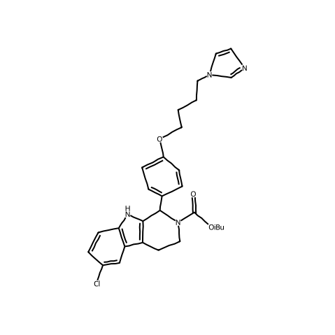 CC(C)COC(=O)N1CCc2c([nH]c3ccc(Cl)cc23)C1c1ccc(OCCCCn2ccnc2)cc1